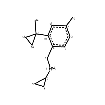 Cc1ccc(CNC2CC2)c(C2(C)CC2)c1